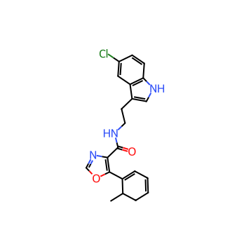 CC1CC=CC=C1c1ocnc1C(=O)NCCc1c[nH]c2ccc(Cl)cc12